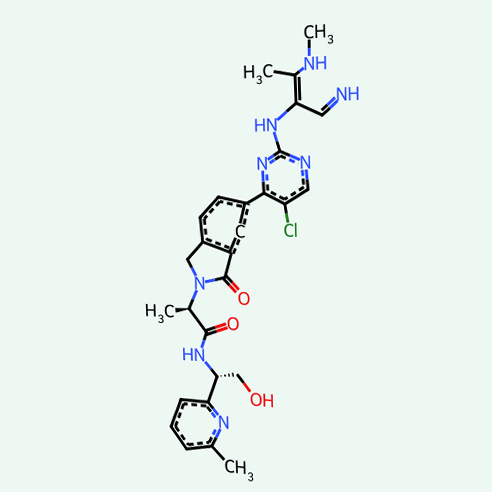 CN/C(C)=C(\C=N)Nc1ncc(Cl)c(-c2ccc3c(c2)C(=O)N([C@H](C)C(=O)N[C@H](CO)c2cccc(C)n2)C3)n1